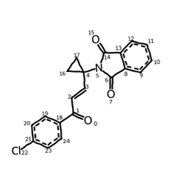 O=C(/C=C/C1(N2C(=O)c3ccccc3C2=O)CC1)c1ccc(Cl)cc1